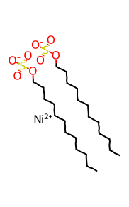 CCCCCCCCCCCCOS(=O)(=O)[O-].CCCCCCCCCCCCOS(=O)(=O)[O-].[Ni+2]